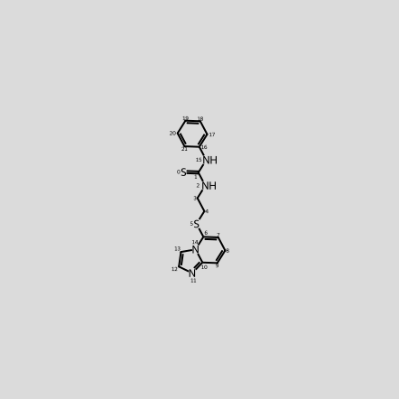 S=C(NCCSc1cccc2nccn12)Nc1ccccc1